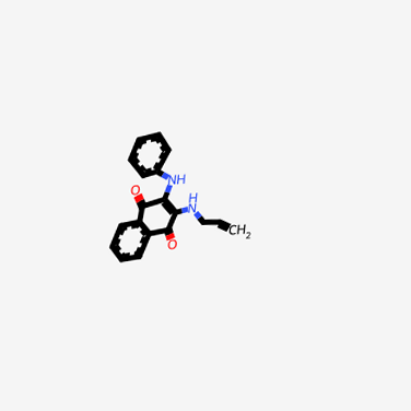 C=CCNC1=C(Nc2ccccc2)C(=O)c2ccccc2C1=O